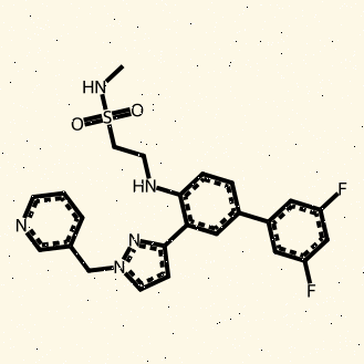 CNS(=O)(=O)CCNc1ccc(-c2cc(F)cc(F)c2)cc1-c1ccn(Cc2cccnc2)n1